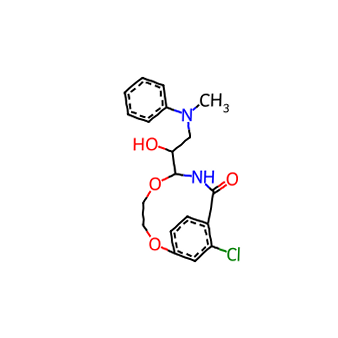 CN(CC(O)C1NC(=O)c2ccc(cc2Cl)OCCO1)c1ccccc1